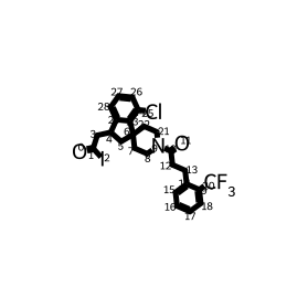 O=C(I)CC1CC2(CCN(C(=O)CCc3ccccc3C(F)(F)F)CC2)c2c(Cl)cccc21